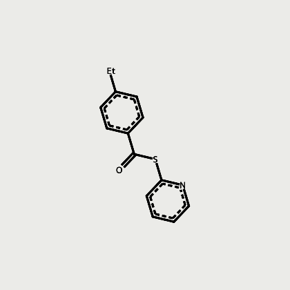 CCc1ccc(C(=O)Sc2ccccn2)cc1